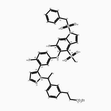 CCOC(=O)CCc1cccc(C(C)n2nccc2-c2cc(Oc3c(F)cc4c(ccn4S(=O)(=O)Cc4ccccc4)c3S(C)(=O)=O)ccc2F)c1